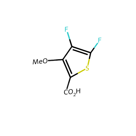 COc1c(C(=O)O)sc(F)c1F